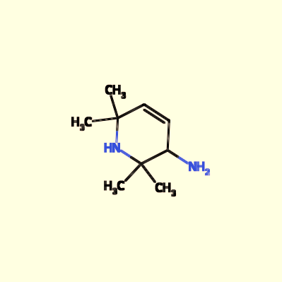 CC1(C)C=CC(N)C(C)(C)N1